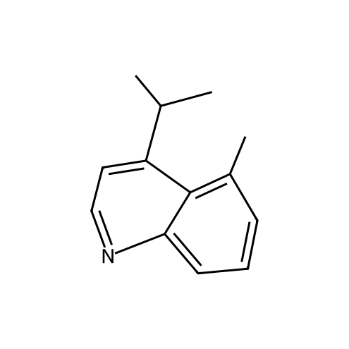 Cc1cccc2nccc(C(C)C)c12